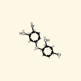 CCc1ccc(Oc2ccc(Br)c(O)c2)c(O)c1